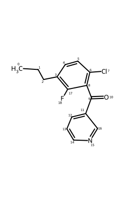 CCCc1ccc(Cl)c(C(=O)c2cccnc2)c1F